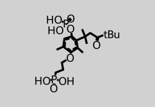 Cc1cc(OP(=O)(O)O)c(C(C)(C)CC(=O)C(C)(C)C)c(C)c1OCCCP(=O)(O)O